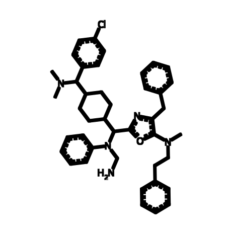 CN(CCc1ccccc1)c1oc(C(C2CCC(C(c3ccc(Cl)cc3)N(C)C)CC2)N(CN)c2ccccc2)nc1Cc1ccccc1